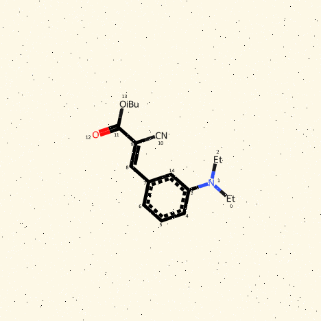 CCN(CC)c1cccc(/C=C(\C#N)C(=O)OCC(C)C)c1